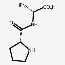 CC(C)[C@@H](NC(=O)[C@H]1CCCN1)C(=O)O